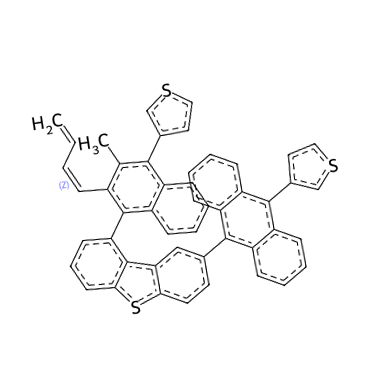 C=C/C=C\c1c(C)c(-c2ccsc2)c2ccccc2c1-c1cccc2sc3ccc(-c4c5ccccc5c(-c5ccsc5)c5ccccc45)cc3c12